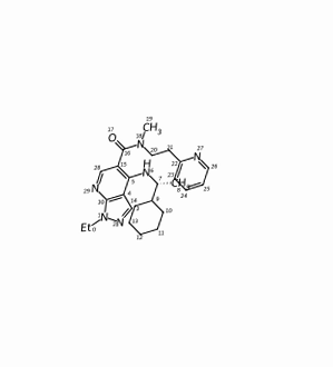 CCn1ncc2c(N[C@H](C)C3CCCCC3)c(C(=O)N(C)CCc3ccccn3)cnc21